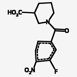 O=C(O)C1CCCN(C(=O)c2ccc([N+](=O)[O-])c(F)c2)C1